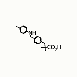 Cc1ccc(NCc2ccc(CC(C)(C)C(=O)O)cc2)cc1